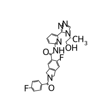 C[C@H](CO)n1cnnc1-c1cccc(NC(=O)c2cc3c(cc2F)CN(C(=O)c2ccc(F)cc2)C3)n1